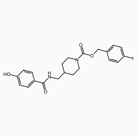 O=C(NCC1CCN(C(=O)OCc2ccc(I)cc2)CC1)c1ccc(O)cc1